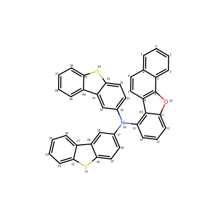 c1ccc2c(c1)ccc1c2oc2cccc(N(c3ccc4sc5ccccc5c4c3)c3ccc4sc5ccccc5c4c3)c21